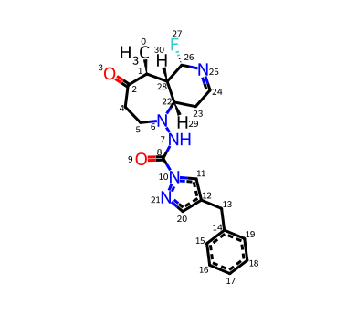 C[C@@H]1C(=O)CCN(NC(=O)n2cc(Cc3ccccc3)cn2)[C@H]2CC=N[C@@H](F)[C@@H]12